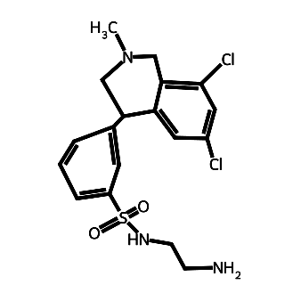 CN1Cc2c(Cl)cc(Cl)cc2C(c2cccc(S(=O)(=O)NCCN)c2)C1